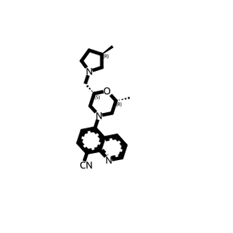 C[C@@H]1CCN(C[C@H]2CN(c3ccc(C#N)c4ncccc34)C[C@@H](C)O2)C1